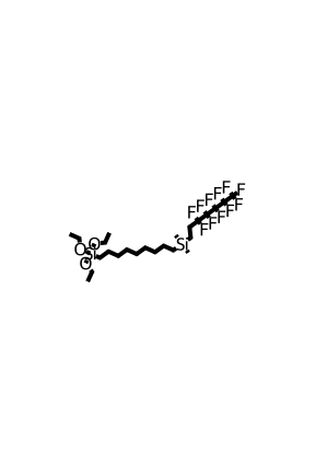 CCO[Si](CCCCCCCCC[Si](C)(C)CCC(F)(F)C(F)(F)C(F)(F)C(F)(F)C(F)(F)F)(OCC)OCC